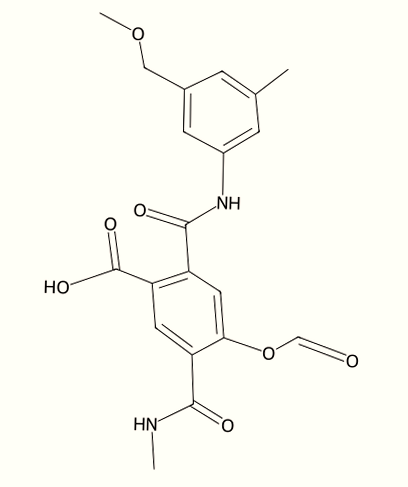 CNC(=O)c1cc(C(=O)O)c(C(=O)Nc2cc(C)cc(COC)c2)cc1OC=O